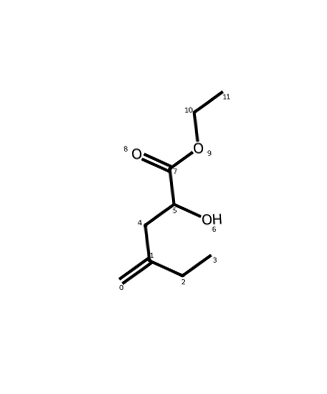 C=C(CC)CC(O)C(=O)OCC